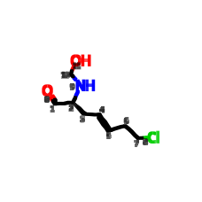 O=C[C@H](C/C=C/CCCl)NCO